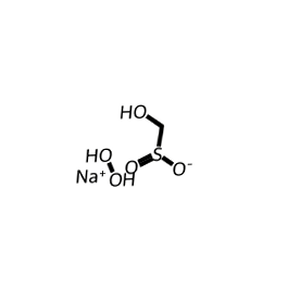 O=S([O-])CO.OO.[Na+]